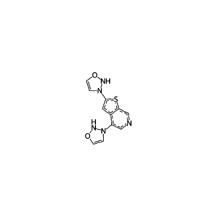 C1=CN(c2cc3c(N4C=CON4)cncc3s2)NO1